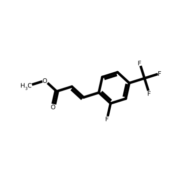 COC(=O)C=Cc1ccc(C(F)(F)F)cc1F